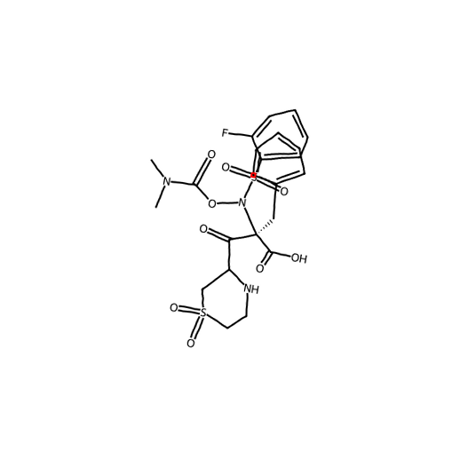 CN(C)C(=O)ON([C@@](Cc1ccccc1)(C(=O)O)C(=O)C1CS(=O)(=O)CCN1)S(=O)(=O)c1ccccc1F